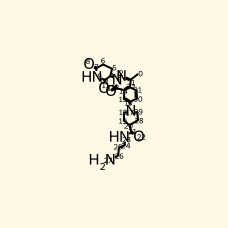 Cc1nn(C2CCC(=O)NC2=O)c(=O)c2cc(N3CCC(C(=O)NCCCN)CC3)ccc12